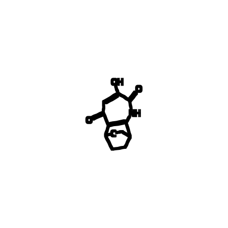 O=c1cc(O)c(=O)[nH]c2c1C1CCC2CC1